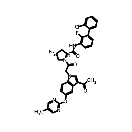 CC(=O)c1cn(CC(=O)N2C[C@H](F)C[C@H]2C(=O)Nc2cccc(-c3ccccc3Cl)c2F)c2ccc(Oc3ncc(C)cn3)cc12